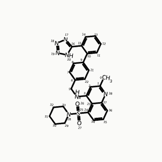 Cc1cc(NCc2ccc(-c3ccccc3-c3nnn[nH]3)cc2)c2c(S(=O)(=O)N3CCCCC3)cccc2n1